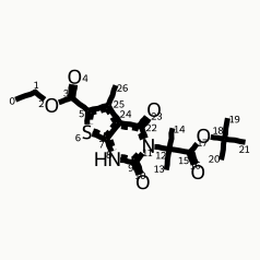 CCOC(=O)c1sc2[nH]c(=O)n(C(C)(C)C(=O)OC(C)(C)C)c(=O)c2c1C